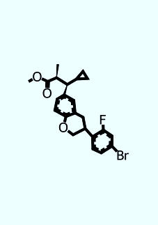 COC(=O)[C@@H](C)[C@H](c1ccc2c(c1)CC(c1ccc(Br)cc1F)CO2)C1CC1